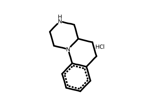 Cl.c1ccc2c(c1)CCC1CNCCN21